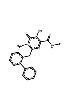 CC(C)NC(=O)c1nc(Cc2ccccc2-c2ccccc2)n(C)c(=O)c1O